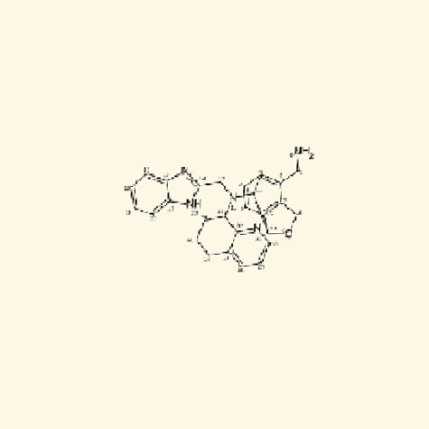 NCc1c2ccc3c1COC3C2N(Cc1nc2ccccc2[nH]1)C1CCCc2cccnc21